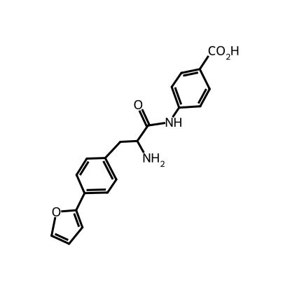 NC(Cc1ccc(-c2ccco2)cc1)C(=O)Nc1ccc(C(=O)O)cc1